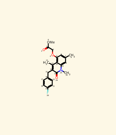 COC(=O)COc1cc(C)cc2c1c(C)c(Cc1ccc(F)cc1)c(=O)n2C